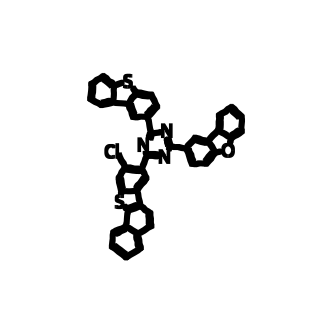 Clc1cc2sc3c4ccccc4ccc3c2cc1-c1nc(-c2ccc3oc4ccccc4c3c2)nc(-c2ccc3sc4ccccc4c3c2)n1